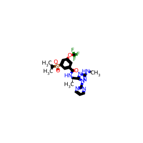 CNc1nc([C@H](C)NC(=O)c2cc(OC(F)(F)F)cc(S(=O)(=O)C(C)C)c2)n(-c2ncccn2)n1